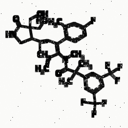 C=C/C(=C(\C=C(/C)C1CNC(=O)C1(CO)CO)c1ccc(F)cc1C)N(C)C(=O)C(C)(C)c1cc(C(F)(F)F)cc(C(F)(F)F)c1